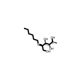 CCCCCCN=C(CO)[C@@H](O)[C@H](O)[C@H](C)O